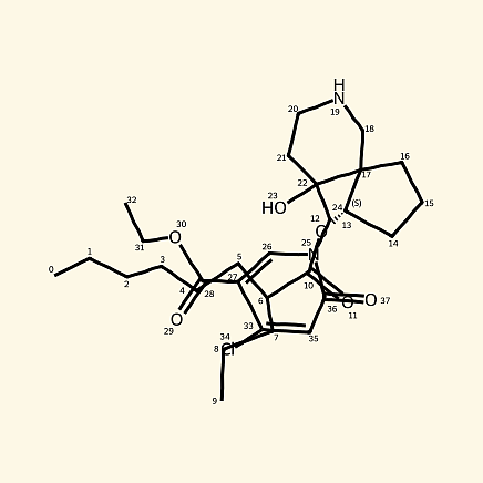 CCCCCCC(CCC)C(=O)O[C@H]1CCCC12CNCCC2(O)Cn1cc(C(=O)OCC)c(Cl)cc1=O